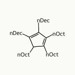 CCCCCCCCCCC1=C(CCCCCCCCCC)C(CCCCCCCC)C(CCCCCCCC)=C1CCCCCCCC